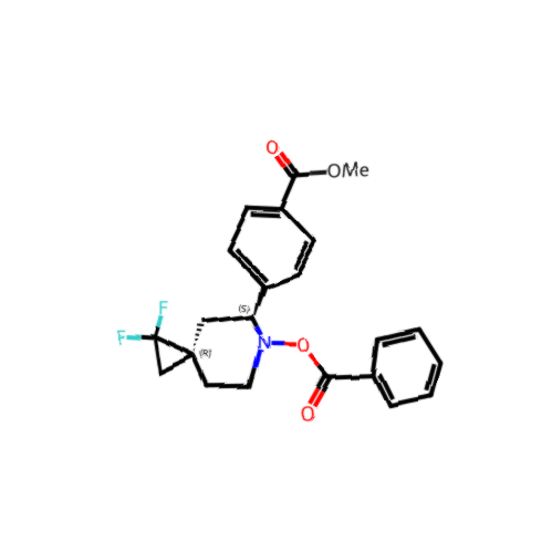 COC(=O)c1ccc([C@@H]2C[C@]3(CCN2OC(=O)c2ccccc2)CC3(F)F)cc1